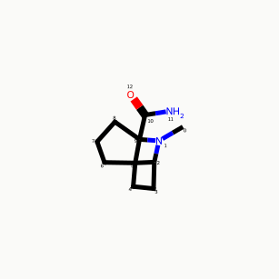 CN1C2CCC23CCCC13C(N)=O